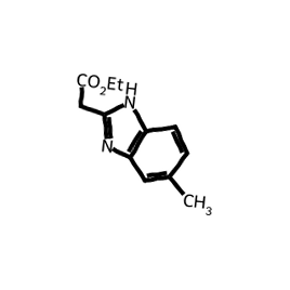 CCOC(=O)Cc1nc2cc(C)ccc2[nH]1